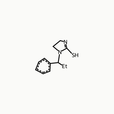 CCC(c1ccccc1)N1CCN=C1S